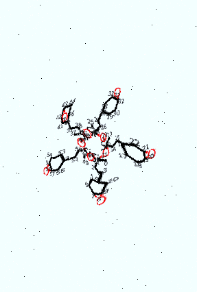 C[Si]1(CCC2CCC3OC3C2)O[Si](C)(CCC2CCC3OC3C2)O[Si](C)(CCC2CCC3OC3C2)O[Si](C)(CCC2CCC3CC2O3)O[Si](C)(CCC2CCC3OC3C2)O1